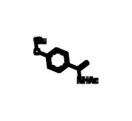 C=C(NC(C)=O)c1ccc(OC(C)(C)C)cc1